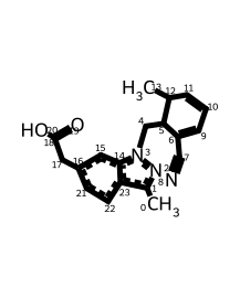 Cc1nn(CC2C(C#N)=CC=CC2C)c2cc(CC(=O)O)ccc12